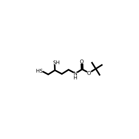 CC(C)(C)OC(=O)NCCC(S)CS